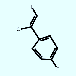 Fc1ccc(C(Cl)=CI)cc1